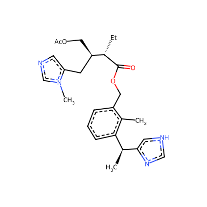 CC[C@H](C(=O)OCc1cccc([C@H](C)c2c[nH]cn2)c1C)[C@H](COC(C)=O)Cc1cncn1C